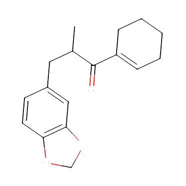 CC(Cc1ccc2c(c1)OCO2)C(=O)C1=CCCCC1